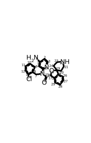 Nc1ccnc(N(Cc2ccccc2Cl)C(=O)[C@@H]2OC3(CCNCC3)c3ccccc32)c1